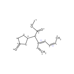 C=C/C(=C\C=C/C)C(C(=O)OI)C1CCC(=O)C1